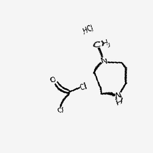 CN1CCNCC1.Cl.O=C(Cl)Cl